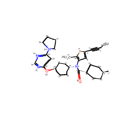 CC(C)(C)C#Cc1cc(N(C(=O)[C@H]2CC[C@H](C)CC2)[C@H]2CC[C@H](Oc3cc(N4CCCC4)ncn3)CC2)c(C(=O)O)s1